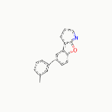 Cc1cccc(-c2ccc3oc4ncccc4c3c2)c1